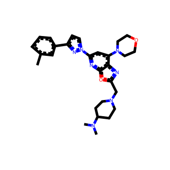 Cc1cccc(-c2ccn(-c3cc(N4CCOCC4)c4nc(CN5CCC(N(C)C)CC5)oc4n3)n2)c1